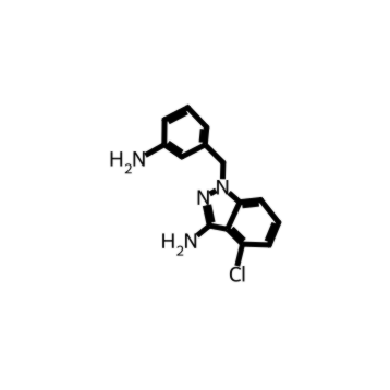 Nc1cccc(Cn2nc(N)c3c(Cl)cccc32)c1